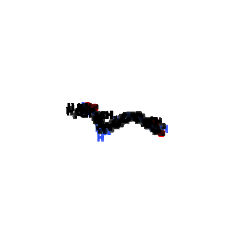 Cc1cc(-c2n[nH]c3ncc(-c4ccc(C5CCN(CC6CCN(c7ccc(N8CCC(=O)NC8=O)c(C)c7)CC6)CC5)nc4)cc23)ccc1CNC(=O)c1nc(C(C)(C)C)no1